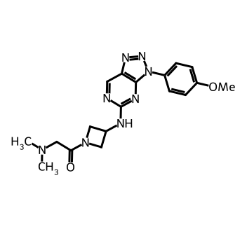 COc1ccc(-n2nnc3cnc(NC4CN(C(=O)CN(C)C)C4)nc32)cc1